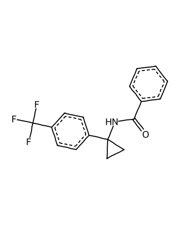 O=C(NC1(c2ccc(C(F)(F)F)cc2)CC1)c1ccccc1